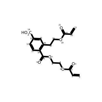 C=CC(=O)OCCOC(=O)c1ccc(C(=O)O)cc1CCOC(=O)C=C